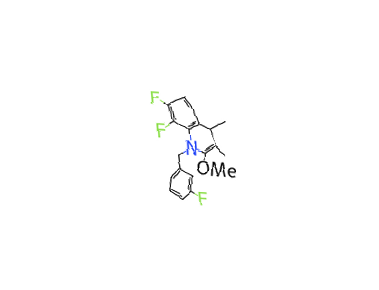 COC1=C(C)C(C)c2ccc(F)c(F)c2N1Cc1cccc(F)c1